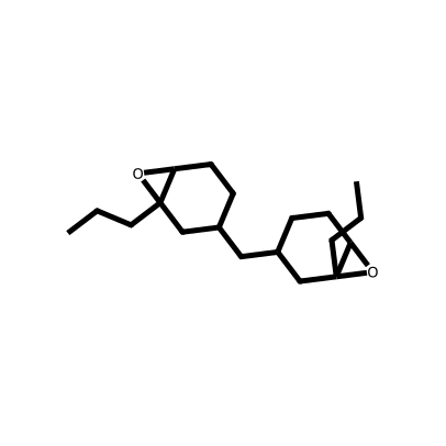 CCCC12CC(CC3CCC4OC4(CCC)C3)CCC1O2